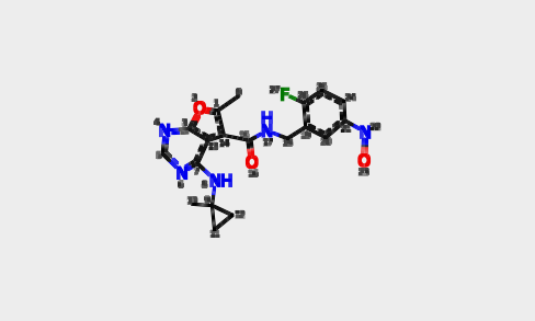 Cc1oc2ncnc(NC3(C)CC3)c2c1C(=O)NCc1cc(N=O)ccc1F